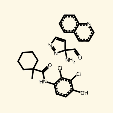 CC1(C(=O)Nc2ccc(O)c(Cl)c2Cl)CCCCC1.NC1(C=O)C=CN=N1.c1ccc2ncccc2c1